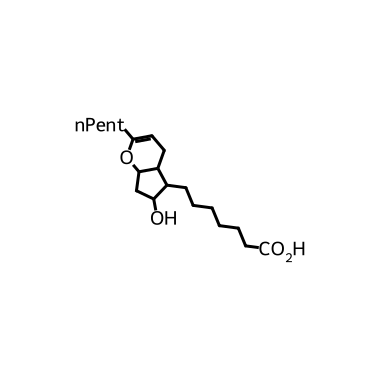 CCCCCC1=CCC2C(CC(O)C2CCCCCCC(=O)O)O1